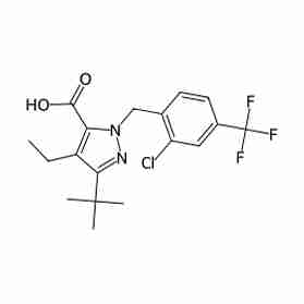 CCc1c(C(C)(C)C)nn(Cc2ccc(C(F)(F)F)cc2Cl)c1C(=O)O